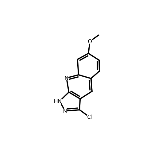 COc1ccc2cc3c(Cl)n[nH]c3nc2c1